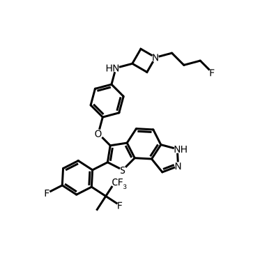 CC(F)(c1cc(F)ccc1-c1sc2c(ccc3[nH]ncc32)c1Oc1ccc(NC2CN(CCCF)C2)cc1)C(F)(F)F